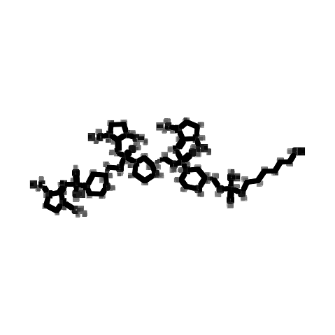 CN1CCN(C)C1=NP(=O)(O)N1CCO[C@@H](COP(=O)(N=C2N(C)CCN2C)N2CCO[C@@H](COP(=O)(N=C3N(C)CCN3C)N3CCO[C@@H](COP(=O)(O)OCCCCCCO)C3)C2)C1